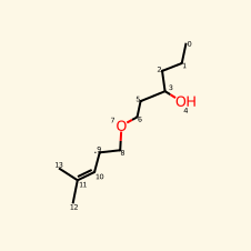 CCCC(O)CCOC[CH]C=C(C)C